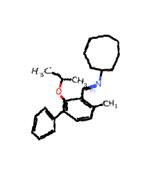 Cc1ccc(-c2ccccc2)c(OC(C)C)c1/C=N/C1CCCCCCC1